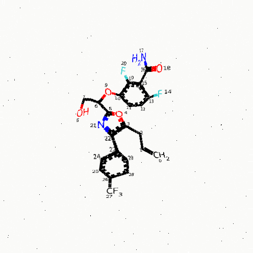 C=CCc1oc(C(CO)Oc2ccc(F)c(C(N)=O)c2F)nc1-c1ccc(C(F)(F)F)cc1